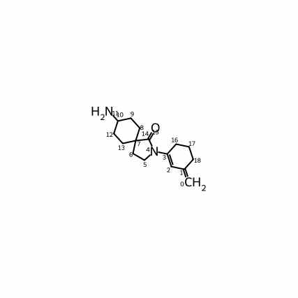 C=C1C=C(N2CCC3(CCC(N)CC3)C2=O)CCC1